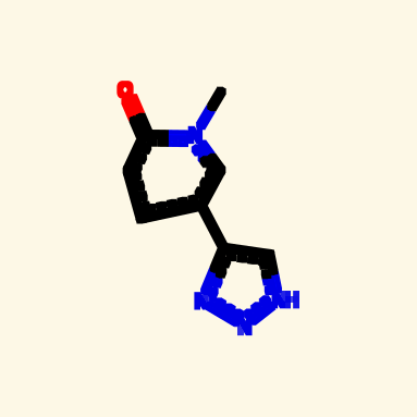 Cn1cc(-c2c[nH]nn2)ccc1=O